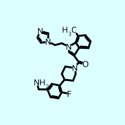 Cc1cccc2c(C(=O)N3CCC(c4cc(CN)ccc4F)CC3)cn(CCn3ccnc3)c12